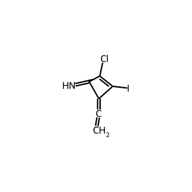 C=C=C1C(=N)C(Cl)=C1I